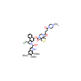 COc1cc2cc(C(O)N3C[C@@H](CCl)c4c3cc(OC(=O)N3CCN(C(=O)CCC(=O)N5CCN(C)CC5)[C@H]5CSSC[C@H]53)c3ccccc43)[nH]c2c(OC)c1OC